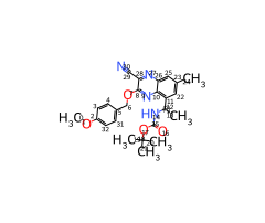 COc1ccc(COc2nc3c([C@@H](C)NC(=O)OC(C)(C)C)cc(C)cc3nc2C#N)cc1